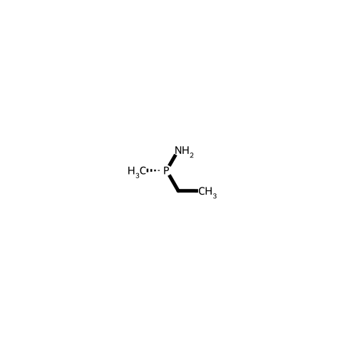 CC[P@](C)N